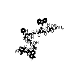 CC[C@@]1(O)C(=O)OCc2c1cc1n(c2=O)Cc2c-1nc1cc(F)c(C)c3c1c2[C@@H](NC(=O)[C@@H](CO)OCNC(=O)CNC(=O)[C@H](Cc1ccccc1)NC(=O)CNC(=O)CNC(=O)[C@H](CCC(=O)NC[C@H]1O[C@@H](CC(N)=O)[C@H](O)[C@@H]1O)NC(=O)OCC1c2ccccc2-c2ccccc21)CC3